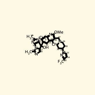 COc1nc2ccc(C3(O)c4c(nc(C)n4C)-n4c3cnc4C)cc2c(Cl)c1CN1CCC(n2ccc(C(F)(F)F)n2)CC1